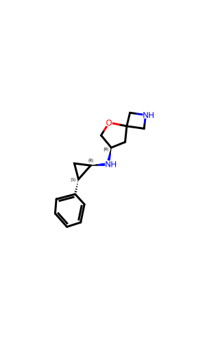 c1ccc([C@@H]2C[C@H]2N[C@H]2COC3(CNC3)C2)cc1